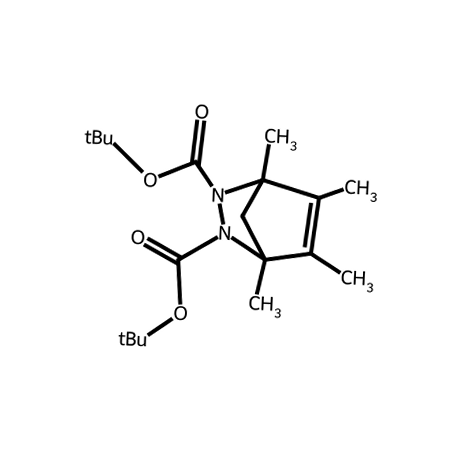 CC1=C(C)C2(C)CC1(C)N(C(=O)OC(C)(C)C)N2C(=O)OC(C)(C)C